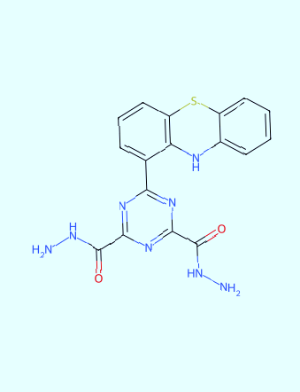 NNC(=O)c1nc(C(=O)NN)nc(-c2cccc3c2Nc2ccccc2S3)n1